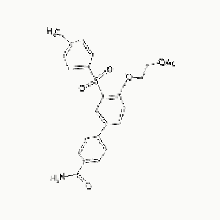 CC(=O)OCCOc1ccc(-c2ccc(C(N)=O)cc2)cc1S(=O)(=O)c1ccc(C)cc1